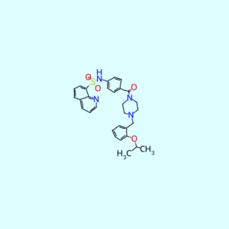 CC(C)Oc1ccccc1CN1CCN(C(=O)c2ccc(NS(=O)(=O)c3cccc4cccnc34)cc2)CC1